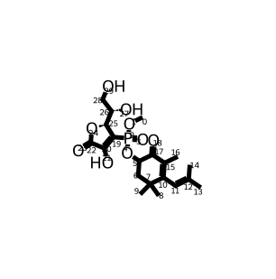 COP(=O)(OC1CC(C)(C)C(C=C(C)C)=C(C)C1=O)C1=C(O)C(=O)O[C@@H]1[C@@H](O)CO